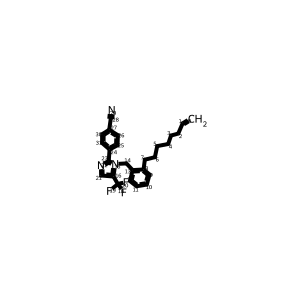 C=CCCCCCCc1ccccc1Cn1c(C(F)(F)F)cnc1-c1ccc(C#N)cc1